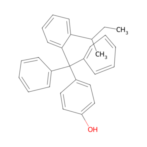 CCC(C)c1ccccc1C(c1ccccc1)(c1ccccc1)c1ccc(O)cc1